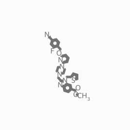 COC(=O)c1ccc2nc(CN3CCN(c4cccc(OCc5ccc(C#N)cc5F)n4)CC3)n(Cc3cccs3)c2c1